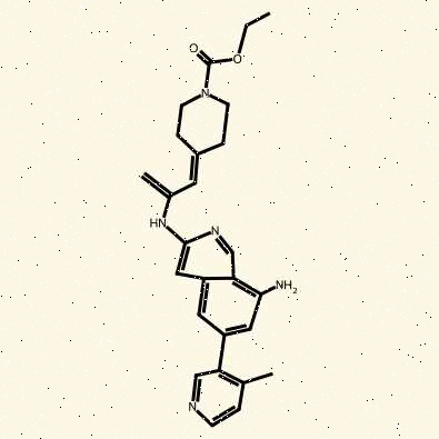 C=C(C=C1CCN(C(=O)OCC)CC1)Nc1cc2cc(-c3cnccc3C)cc(N)c2cn1